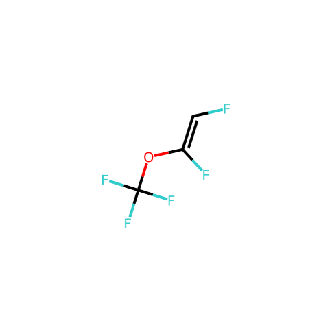 FC=C(F)OC(F)(F)F